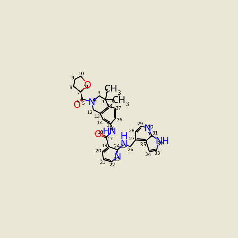 CC1(C)CN(C(=O)[C@H]2CCCO2)Cc2cc(NC(=O)c3cccnc3NCc3ccnc4[nH]ccc34)ccc21